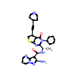 C[C@H](NC(=O)c1c(N)nn2cccnc12)c1nc2scc(C#Cc3ccncc3)c2c(=O)n1-c1ccccc1